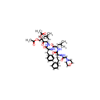 CC(=O)OC[C@@](C)(OC(C)=O)C(=O)[C@H](CC(C)C)NC(=O)[C@H](Cc1ccccc1)NC(=O)[C@H](CC(C)C)NC(=O)[C@H](CCc1ccccc1)NC(=O)CN1CCOCC1